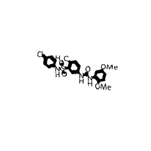 COc1ccc(OC)c(NC(=O)Nc2ccc(C)c(S(=O)(=O)Nc3ccc(Cl)cc3)c2)c1